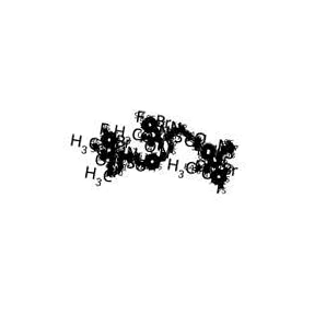 CCOC(=O)C1=C2CN(Cc3ccc(Oc4cnc(C5=NC(c6ccc(F)cc6Br)C(C(=O)OCC)=C6CN(C)CCN56)s4)cc3)CCN2C(c2ncc(COC(=O)CN3CCN4C(c5nccs5)=N[C@@H](c5ccc(F)cc5Br)C(C(=O)OCC)=C4C3)s2)=NC1c1ccc(F)cc1Br